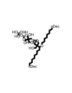 CCCCCCCCCCCCCCCCCCOC(CCCCCCCCCCCCCCCCCC)C(CO)(CO)CO.OCC(CO)(CO)CO.OP(O)O.OP(O)O